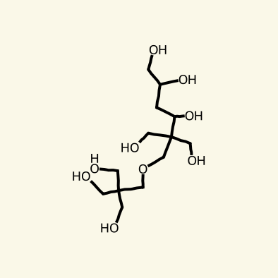 OCC(O)CC(O)C(CO)(CO)COCC(CO)(CO)CO